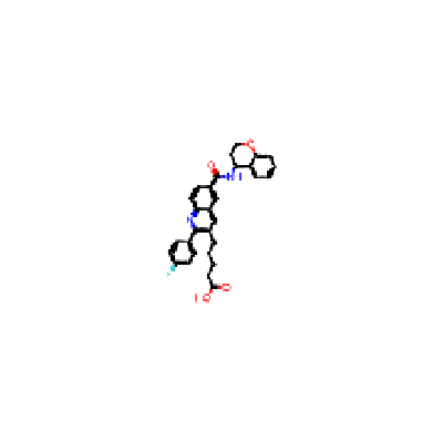 O=C(O)CCCCc1cc2cc(C(=O)NC3CCOc4ccccc43)ccc2nc1-c1ccc(F)cc1